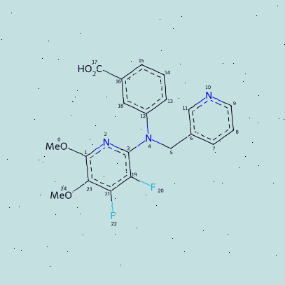 COc1nc(N(Cc2cccnc2)c2cccc(C(=O)O)c2)c(F)c(F)c1OC